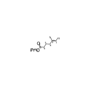 C/C=C(\C)CCCC(=O)OC(C)C